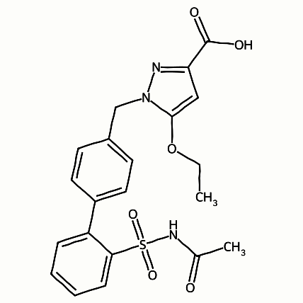 CCOc1cc(C(=O)O)nn1Cc1ccc(-c2ccccc2S(=O)(=O)NC(C)=O)cc1